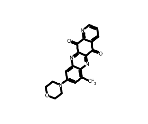 O=C1c2cccnc2C(=O)c2nc3cc(N4CCOCC4)cc(C(F)(F)F)c3nc21